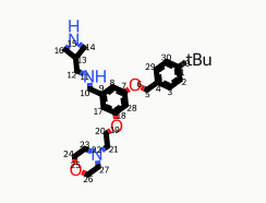 CC(C)(C)c1ccc(COc2cc(CNCC3CNC3)cc(OCCN3CCOCC3)c2)cc1